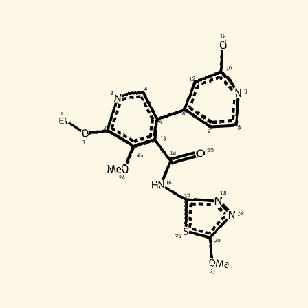 CCOc1ncc(-c2ccnc(Cl)c2)c(C(=O)Nc2nnc(OC)s2)c1OC